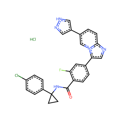 Cl.O=C(NC1(c2ccc(Cl)cc2)CC1)c1ccc(-c2cnc3ccc(-c4cn[nH]c4)cn23)cc1F